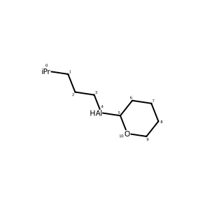 CC(C)CC[CH2][AlH][CH]1CCCCO1